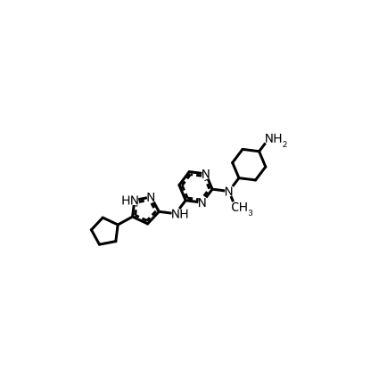 CN(c1nccc(Nc2cc(C3CCCC3)[nH]n2)n1)C1CCC(N)CC1